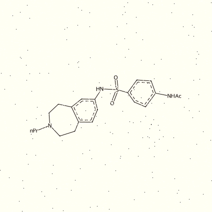 CCCN1CCc2ccc(NS(=O)(=O)c3ccc(NC(C)=O)cc3)cc2CC1